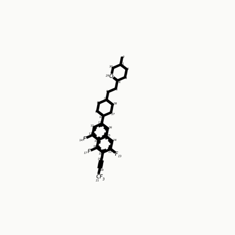 CC1CCC(CCC2CCC(c3cc(F)c4c(F)c(C#CC(F)(F)F)c(F)cc4c3)CC2)OC1